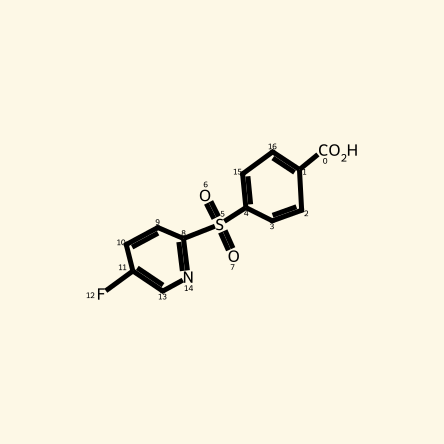 O=C(O)c1ccc(S(=O)(=O)c2ccc(F)cn2)cc1